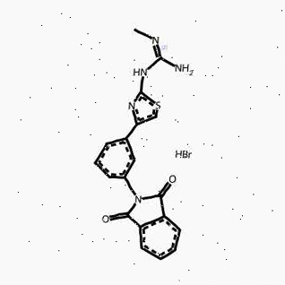 Br.C/N=C(/N)Nc1nc(-c2cccc(N3C(=O)c4ccccc4C3=O)c2)cs1